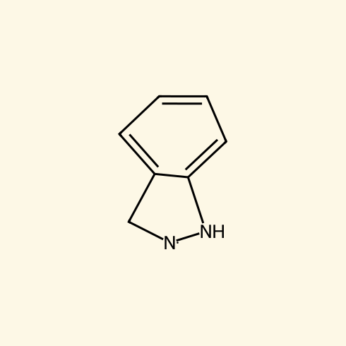 c1ccc2c(c1)C[N]N2